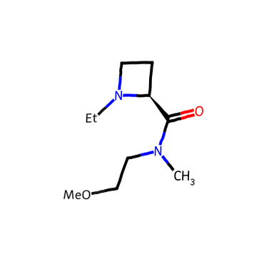 CCN1CC[C@H]1C(=O)N(C)CCOC